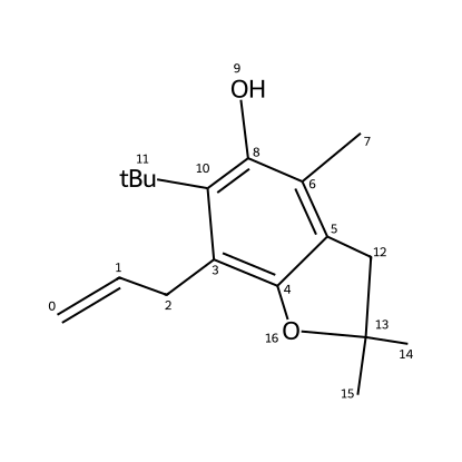 C=CCc1c2c(c(C)c(O)c1C(C)(C)C)CC(C)(C)O2